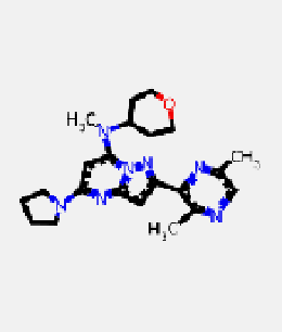 Cc1cnc(C)c(-c2cc3nc(N4CCCC4)cc(N(C)C4CCOCC4)n3n2)n1